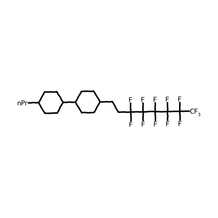 CCCC1CCC(C2CCC(CCC(F)(F)C(F)(F)C(F)(F)C(F)(F)C(F)(F)C(F)(F)F)CC2)CC1